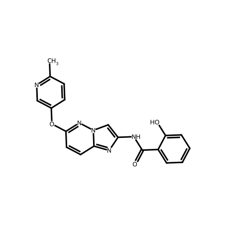 Cc1ccc(Oc2ccc3nc(NC(=O)c4ccccc4O)cn3n2)cn1